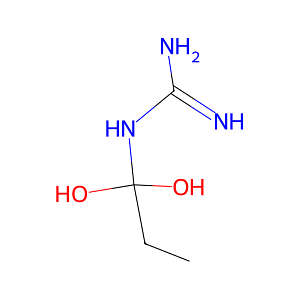 CCC(O)(O)NC(=N)N